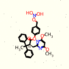 COc1cc(OC)nc(C[C@H](C(=O)Oc2ccc(CON(O)O)cc2)C(C)(c2ccccc2)c2ccccc2)n1